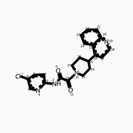 O=C(Nc1ccc(Cl)cn1)C(=O)N1CCC(c2ccnc3ccccc23)CC1